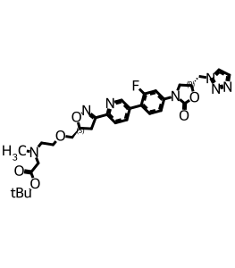 CN(CCOC[C@@H]1CC(c2ccc(-c3ccc(N4C[C@H](Cn5ccnn5)OC4=O)cc3F)cn2)=NO1)CC(=O)OC(C)(C)C